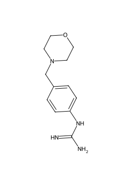 N=C(N)Nc1ccc(CN2CCOCC2)cc1